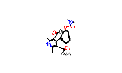 COC(=O)C1=C(C)NC(C)=C(C(=O)OC)C1c1cccc(OC(=O)N(C)C)c1